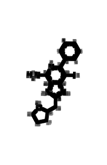 Nc1nc(-c2ccccc2)c(I)c2nc(CC3CCCO3)nn12